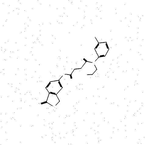 Cl.N=C1NCc2cc(NC(=O)[C@H](O)[C@H]3OCCN(c4cccc(C(=O)O)c4)C3=O)ccc21